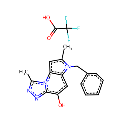 Cc1cc2c(cc(O)c3nnc(C)n32)n1Cc1ccccc1.O=C(O)C(F)(F)F